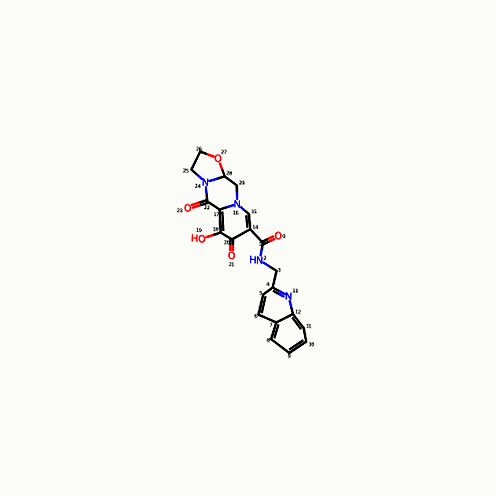 O=C(NCc1ccc2ccccc2n1)c1cn2c(c(O)c1=O)C(=O)N1CCOC1C2